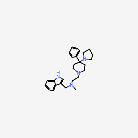 CN(CCN1CCC(c2ccccc2)(N2CCCC2)CC1)Cc1c[nH]c2ccccc12